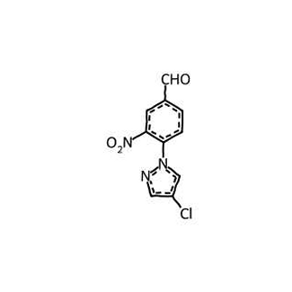 O=Cc1ccc(-n2cc(Cl)cn2)c([N+](=O)[O-])c1